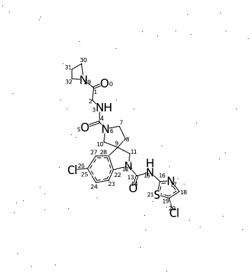 O=C(CNC(=O)N1CCC2(C1)CN(C(=O)Nc1ncc(Cl)s1)c1ccc(Cl)cc12)N1CCC1